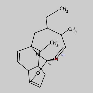 CCC1CC23C=CC4C(=CCC4C2)O[C@@H](/C=C\C1C)N3C